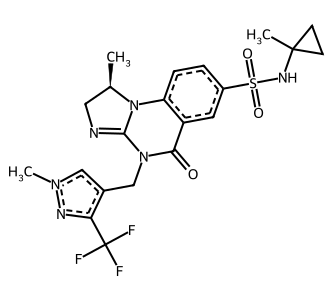 C[C@@H]1CN=C2N(Cc3cn(C)nc3C(F)(F)F)C(=O)c3cc(S(=O)(=O)NC4(C)CC4)ccc3N21